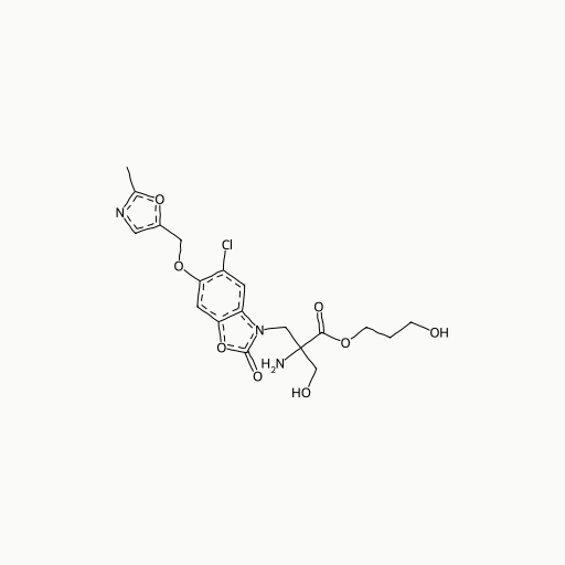 Cc1ncc(COc2cc3oc(=O)n(CC(N)(CO)C(=O)OCCCO)c3cc2Cl)o1